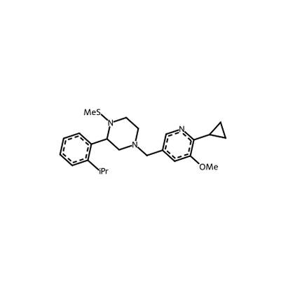 COc1cc(CN2CCN(SC)C(c3ccccc3C(C)C)C2)cnc1C1CC1